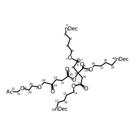 CCCCCCCCCCCCCCOC(=O)CC(CC(=O)OCCCCCCCCCCCCCC)(OC(=O)CCC(=O)COCCOCC(C)=O)C(=O)OCCCCCCCCCCCCCC